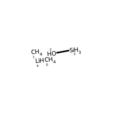 C.C.O[SiH3].[LiH]